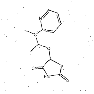 CC(OC1SC(=O)NC1=O)N(C)c1ccccn1